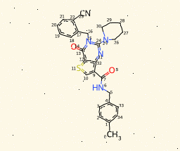 Cc1ccc(CNC(=O)c2csc3c(=O)n(Cc4ccccc4C#N)c(N4CCCCC4)nc23)cc1